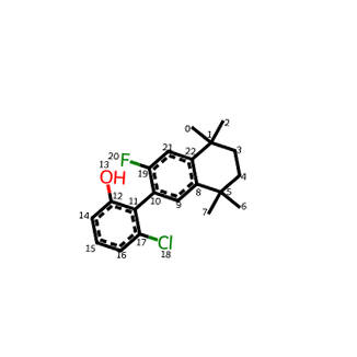 CC1(C)CCC(C)(C)c2cc(-c3c(O)cccc3Cl)c(F)cc21